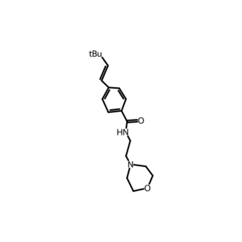 CC(C)(C)/C=C/c1ccc(C(=O)NCCN2CCOCC2)cc1